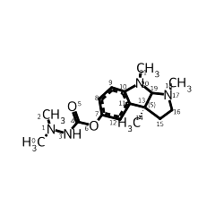 CN(C)NC(=O)Oc1ccc2c(c1)[C@]1(C)CCN(C)C1N2C